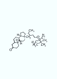 CC(CCCO[Si](C)(C)C(C)(C)C)[C@H]1CC[C@H]2C3CCC4CC(=O)CCC4(C)[C@H]3CCC12C